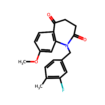 COc1ccc2c(c1)N(Cc1ccc(C)c(F)c1)C(=O)CCC2=O